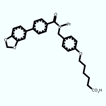 CC(C)N(Cc1ccc(OCCCCCC(=O)O)cc1)C(=O)c1ccc(-c2ccc3c(c2)OCO3)cc1